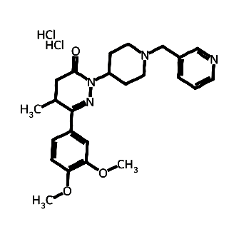 COc1ccc(C2=NN(C3CCN(Cc4cccnc4)CC3)C(=O)CC2C)cc1OC.Cl.Cl